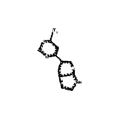 FC(F)(F)c1cc(-c2cnc3[nH]ccc3c2)ncn1